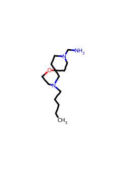 CCCCCN1CCOC2(CCN(CN)CC2)C1